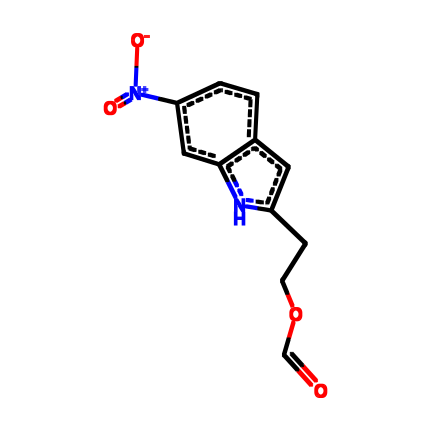 O=COCCc1cc2ccc([N+](=O)[O-])cc2[nH]1